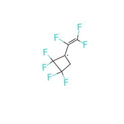 FC(F)=C(F)[C]1CC(F)(F)C1(F)F